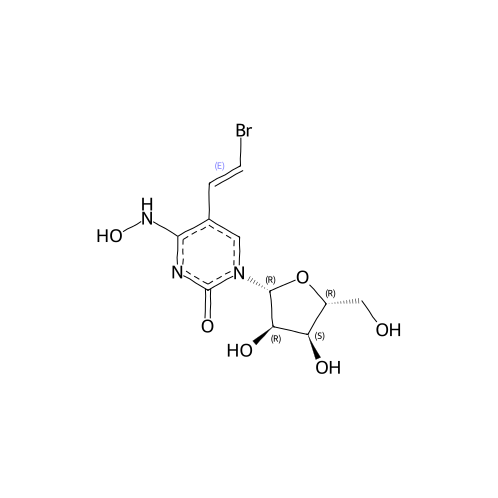 O=c1nc(NO)c(/C=C/Br)cn1[C@@H]1O[C@H](CO)[C@@H](O)[C@H]1O